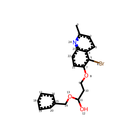 Cc1ccc2c(Br)c(OCCC(O)OCc3ccccc3)ccc2n1